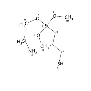 CO[Si](CCCS)(OC)OC.N[SiH3]